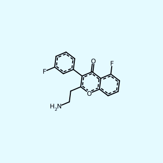 NCCc1oc2cccc(F)c2c(=O)c1-c1cccc(F)c1